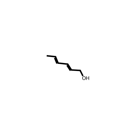 CC=CC=CCO